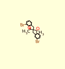 CC(=O)C(Cc1cccc(Br)c1)(Cc1cccc(Br)c1)C(C)=O